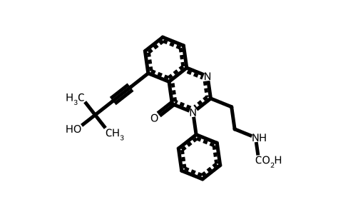 CC(C)(O)C#Cc1cccc2nc(CCNC(=O)O)n(-c3ccccc3)c(=O)c12